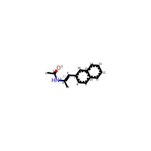 CC(=O)N/C(C)=C/c1ccc2ccccc2c1